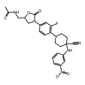 CC(=S)NCC1CN(c2ccc(N3CCC(C#N)(Nc4cccc([N+](=O)[O-])c4)CC3)c(F)c2)C(=O)O1